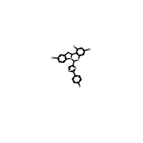 Fc1ccc(-c2ncc(C3Oc4cc(Br)cc(F)c4C4Cc5cc(Cl)ccc5N43)s2)cc1